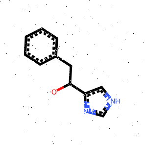 [O]C(Cc1ccccc1)c1c[nH]cn1